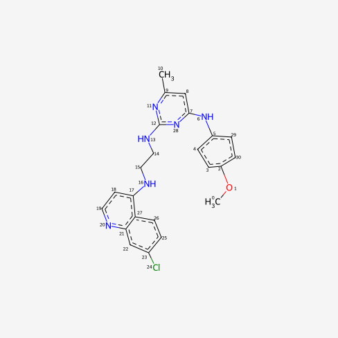 COc1ccc(Nc2cc(C)nc(NCCNc3ccnc4cc(Cl)ccc34)n2)cc1